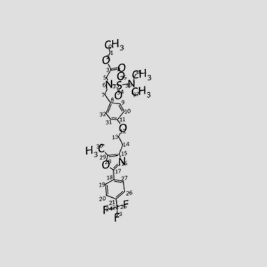 CCOC(=O)CN(Cc1ccc(OCCc2nc(-c3ccc(C(F)(F)F)cc3)oc2C)cc1)S(=O)(=O)N(C)C